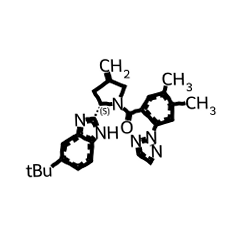 C=C1C[C@@H](c2nc3cc(C(C)(C)C)ccc3[nH]2)N(C(=O)c2cc(C)c(C)cc2-n2nccn2)C1